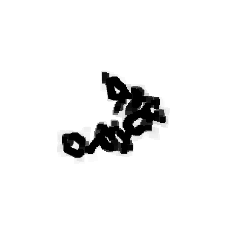 COc1ncc(-c2nn3cc(CN4CCOCC4)nc3s2)cc1NS(=O)(=O)c1ccc(F)cc1F